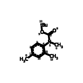 Cc1ccc(N(C)C(=O)OC(C)(C)C)c(C)c1